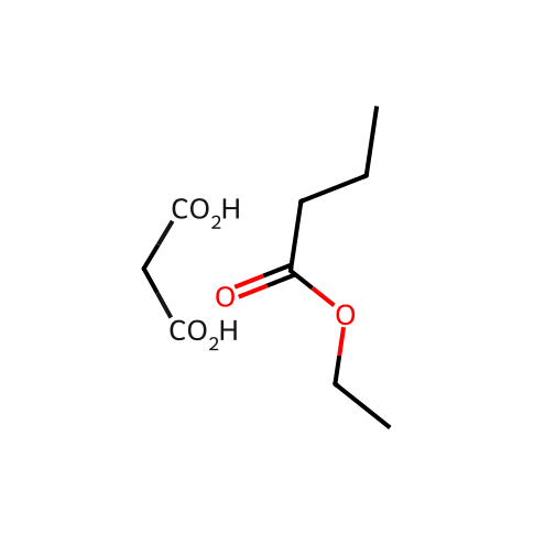 CCCC(=O)OCC.O=C(O)CC(=O)O